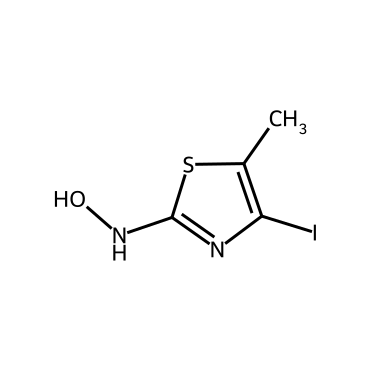 Cc1sc(NO)nc1I